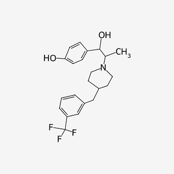 CC(C(O)c1ccc(O)cc1)N1CCC(Cc2cccc(C(F)(F)F)c2)CC1